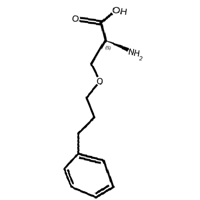 N[C@@H](COCCCc1ccccc1)C(=O)O